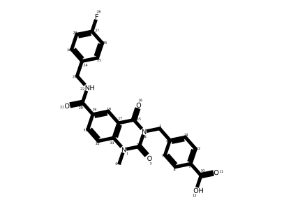 Cn1c(=O)n(Cc2ccc(C(=O)O)cc2)c(=O)c2cc(C(=O)NCc3ccc(F)cc3)ccc21